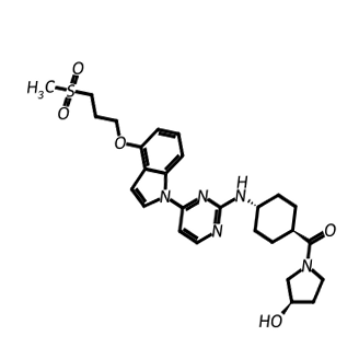 CS(=O)(=O)CCCOc1cccc2c1ccn2-c1ccnc(N[C@H]2CC[C@H](C(=O)N3CC[C@@H](O)C3)CC2)n1